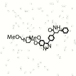 COCCN1CCC(COc2cc3ncnc(-c4ccc(C(CCc5ccccc5)C(N)=O)cc4)c3cc2OC)CC1